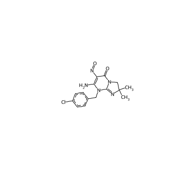 CC1(C)CN2C(=O)C(N=O)=C(N)N(Cc3ccc(Cl)cc3)C2=N1